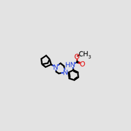 COC(=O)Nc1ccccc1N1CCN(C2CC3CCC2C3)CC1